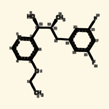 CCOc1ccnc([C@@H](O)[C@@H](C)Cc2cc(F)cc(F)c2)c1